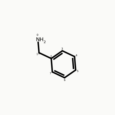 N[C]c1ccccc1